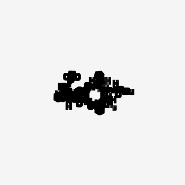 CC(C)C[C@H](NC(=O)[C@H](Cc1ccccc1)NC(=O)CNC(=O)CC[C@@H]1NC(=O)[C@H](Cc2ccccc2)NC(=O)[C@H]([C@@H](C)O)NC[C@H](CCCCNC(=O)OC(C)(C)C)NC(=O)[C@@H](Cc2c[nH]c3ccccc23)NC(=O)[C@H](Cc2ccc(O)cc2)NC1=O)C(=O)NCCCN1C(=O)C=CC1=O